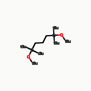 CC(C)(C)O[Si](CCC[Si](OC(C)(C)C)(C(C)(C)C)C(C)(C)C)(C(C)(C)C)C(C)(C)C